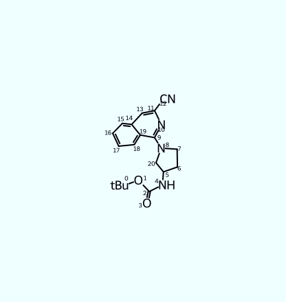 CC(C)(C)OC(=O)NC1CCN(c2nc(C#N)cc3ccccc23)C1